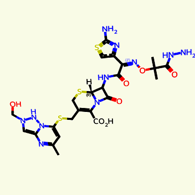 CC1=NC2=CN(CO)NN2C(SCC2=C(C(=O)O)N3C(=O)C(NC(=O)/C(=N\OC(C)(C)C(=O)NN)c4csc(N)n4)[C@H]3SC2)=C1